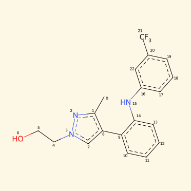 Cc1nn(CCO)cc1-c1ccccc1Nc1cccc(C(F)(F)F)c1